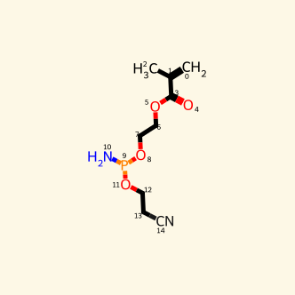 C=C(C)C(=O)OCCOP(N)OCCC#N